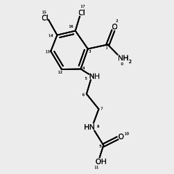 NC(=O)c1c(NCCNC(=O)O)ccc(Cl)c1Cl